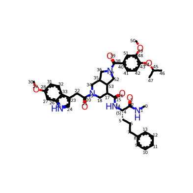 CNC(=O)[C@H](CCCc1ccccc1)NC(=O)C1CN(C(=O)Cc2c[nH]c3cc(OC)ccc23)CC2CN(C(=O)c3ccc(OC(C)C)c(OC)c3)CC21